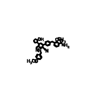 COc1ccc(Cn2ncc3c(C4CCCC4O)cc(-c4ccc(Cc5cccc(C(N)=O)c5OC)cc4)c(C#N)c32)cc1